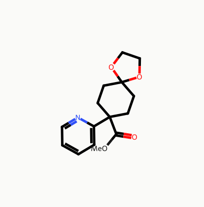 COC(=O)C1(c2ccccn2)CCC2(CC1)OCCO2